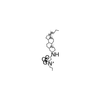 CCC[C@@H](C)[C@H]1CCC2C3CCC4CC(NCCC([N+](C)(C)CCC)S(=O)(=O)[O-])CC[C@]4(C)C3CC[C@@]21C